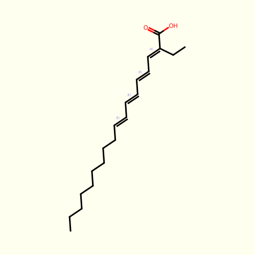 CCCCCCCCC/C=C/C=C/C=C/C=C(\CC)C(=O)O